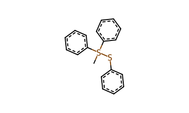 CS(Sc1ccccc1)(c1ccccc1)c1ccccc1